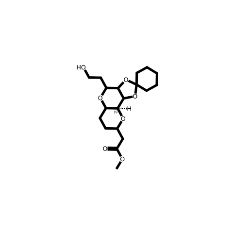 COC(=O)CC1CCC2OC(CCO)C3OC4(CCCCC4)OC3[C@H]2O1